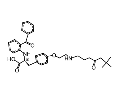 CC(C)(C)CC(=O)CCCNCCOc1ccc(C[C@H](Nc2ccccc2C(=O)c2ccccc2)C(=O)O)cc1